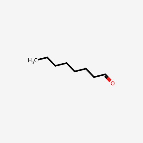 CCCCC[CH]CC=O